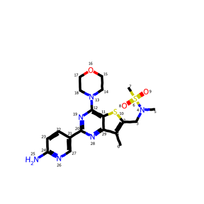 Cc1c(CN(C)S(C)(=O)=O)sc2c(N3CCOCC3)nc(-c3ccc(N)nc3)nc12